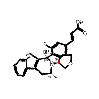 B[C@@]1(c2c(F)cc(/C=C/C(=O)O)cc2F)c2[nH]c3ccccc3c2C[C@@H](C)N1[C@H]1CCOC1